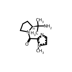 Cn1ccnc1C(=O)N1CCC[C@H]1C(C)(C)N